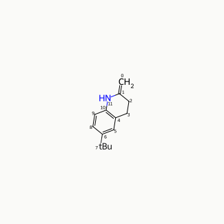 C=C1CCc2cc(C(C)(C)C)ccc2N1